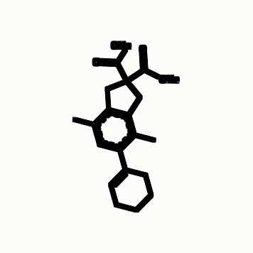 COC(=O)C1(C(=O)OC)Cc2c(C)cc(C3=CCCCC3)c(C)c2C1